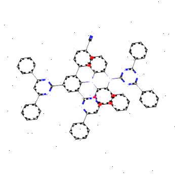 N#Cc1ccc(-c2cc(-c3nc(-c4ccccc4)cc(-c4ccccc4)n3)cc(-c3nc(-c4ccccc4)cc(-c4ccccc4)n3)c2N2c3ccccc3N(c3nc(-c4ccccc4)nc(-c4ccccc4)n3)c3ccccc32)cc1